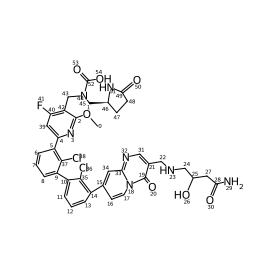 COc1nc(-c2cccc(-c3cccc(-c4ccn5c(=O)c(CNCC(O)CC(N)=O)cnc5c4)c3Cl)c2Cl)cc(F)c1CN(C[C@@H]1CCC(=O)N1)C(=O)O